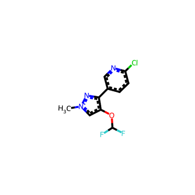 Cn1cc(OC(F)F)c(-c2ccc(Cl)nc2)n1